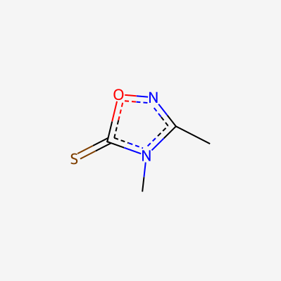 Cc1noc(=S)n1C